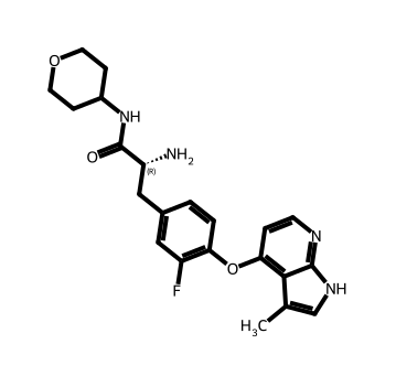 Cc1c[nH]c2nccc(Oc3ccc(C[C@@H](N)C(=O)NC4CCOCC4)cc3F)c12